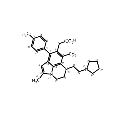 Cc1ccc(-c2c(CC(=O)O)c(C)c3c4c2cc(C)n4CCN3CCN2CCCC2)cc1